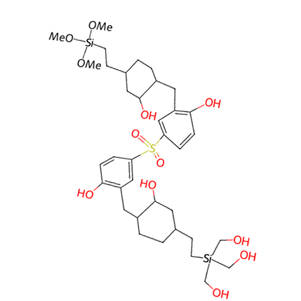 CO[Si](CCC1CCC(Cc2cc(S(=O)(=O)c3ccc(O)c(CC4CCC(CC[Si](CO)(CO)CO)CC4O)c3)ccc2O)C(O)C1)(OC)OC